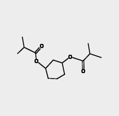 CC(C)C(=O)OC1CCCC(OC(=O)C(C)C)C1